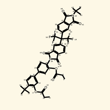 CCC(=O)Oc1cc(-c2ccc(C(C)(C)C)c(OC(=O)CC)c2)ccc1N1C(=O)c2ccc(C(c3ccc4c(c3)C(=O)N(C(C)(C)C)C4=O)(C(F)(F)F)C(F)(F)F)cc2C1=O